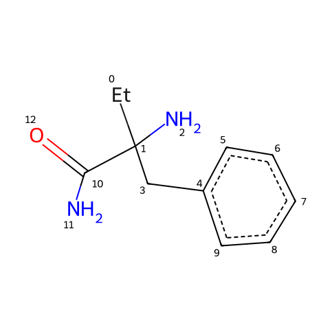 CCC(N)(Cc1ccccc1)C(N)=O